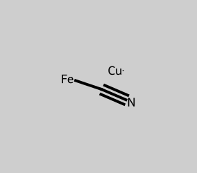 N#[C][Fe].[Cu]